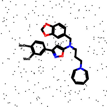 COc1ccc(-c2cc(N(CCCN3C=CC=CC=C3)Cc3ccc4c(c3)OCO4)on2)cc1OC